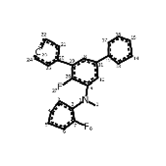 CN(c1ccccc1F)c1cc(-c2ccccc2)cc(-c2ccccc2)c1F